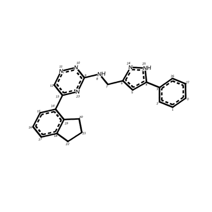 c1ccc(-c2cc(CNc3nncc(-c4cccc5c4CCC5)n3)n[nH]2)cc1